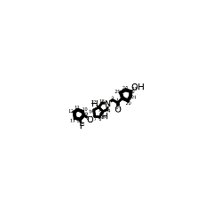 O=C(CN1C[C@H]2CC(Oc3ccccc3F)C[C@H]2C1)c1ccc(O)cc1